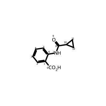 O=C(O)c1ccccc1NC(=O)C1CC1